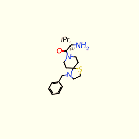 CC(C)[C@H](N)C(=O)N1CCC2(CC1)SCCN2Cc1ccccc1